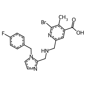 Cc1c(C(=O)O)cc(CNCc2nccn2Cc2ccc(F)cc2)nc1Br